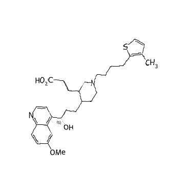 COc1ccc2nccc([C@@H](O)CCC3CCN(CCCCc4sccc4C)CC3CCC(=O)O)c2c1